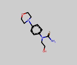 NC(=S)N(CCO)c1ccc(N2CCOCC2)cc1